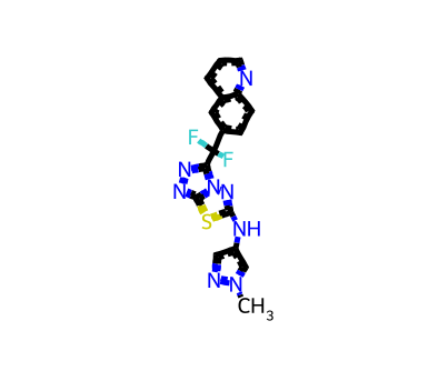 Cn1cc(Nc2nn3c(C(F)(F)c4ccc5ncccc5c4)nnc3s2)cn1